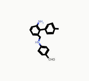 Cc1ccc(-c2c(N)cccc2CNc2ccc(C=O)cc2)cc1